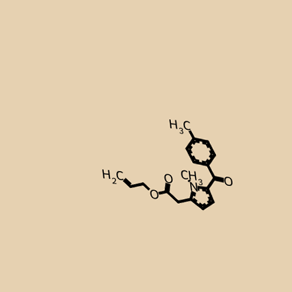 C=CCOC(=O)Cc1ccc(C(=O)c2ccc(C)cc2)n1C